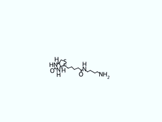 NCCCCNC(=O)CCCC[C@@H]1SC[C@@H]2NC(=O)N[C@@H]21